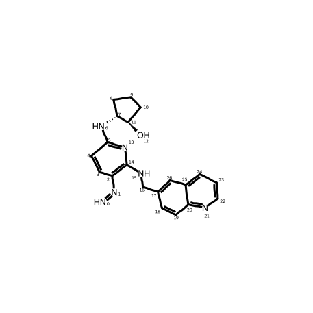 N=Nc1ccc(N[C@@H]2CCC[C@H]2O)nc1NCc1ccc2ncccc2c1